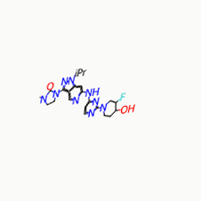 CC(C)n1nc(N2CCN(C)C2=O)c2cnc(Nc3ccnc(N4CCC(O)C(F)C4)n3)cc21